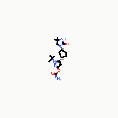 CC1(C)CN([C@@H]2CC[C@H](c3cc(OC(N)=O)nn3C(C)(C)C)C2)C(=O)N1